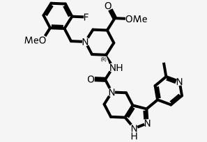 COC(=O)C1C[C@@H](NC(=O)N2CCc3[nH]nc(-c4ccnc(C)c4)c3C2)CN(Cc2c(F)cccc2OC)C1